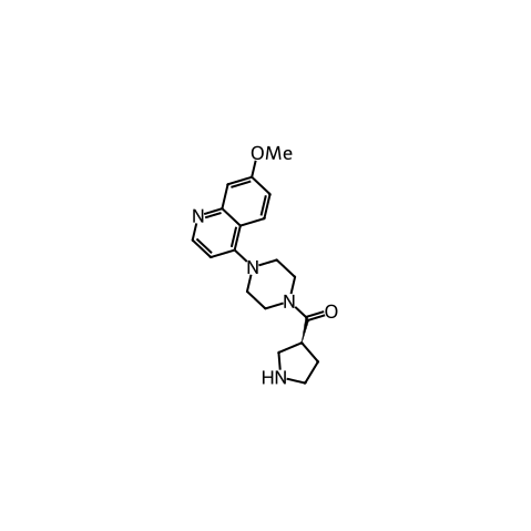 COc1ccc2c(N3CCN(C(=O)[C@H]4CCNC4)CC3)ccnc2c1